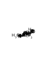 Cc1ccc(Cn2cc3c(n2)-c2c(oc(C(=O)NC[C@@H]4COCCO4)c2C(F)(F)F)CC3)cn1